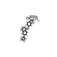 CNC(=O)c1c(C)oc2cc(Oc3ccnc4cc(-c5ccco5)ccc34)ccc12